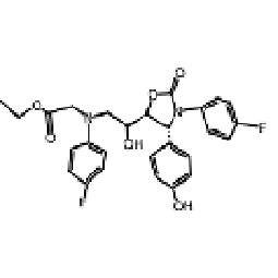 CCOC(=O)CN(CC(O)[C@H]1OC(=O)N(c2ccc(F)cc2)[C@@H]1c1ccc(O)cc1)c1ccc(F)cc1